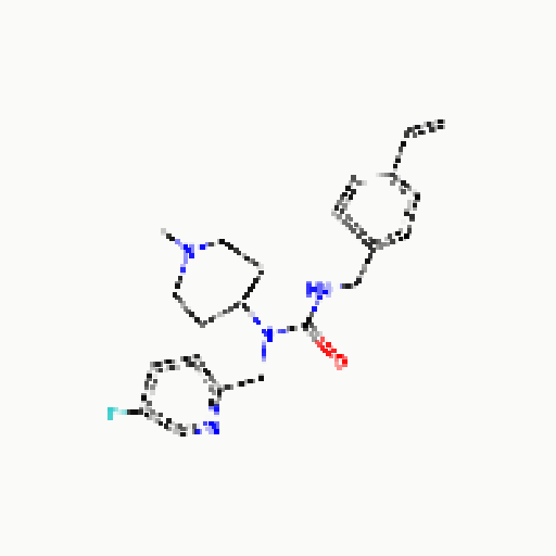 C=Cc1ccc(CNC(=O)N(Cc2ccc(F)cn2)C2CCN(C)CC2)cc1